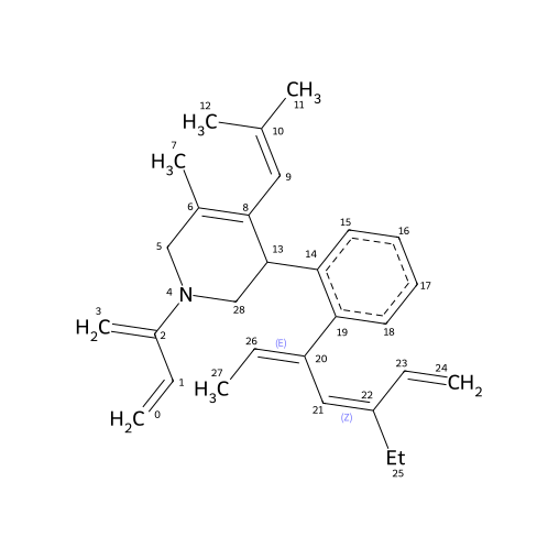 C=CC(=C)N1CC(C)=C(C=C(C)C)C(c2ccccc2C(/C=C(\C=C)CC)=C/C)C1